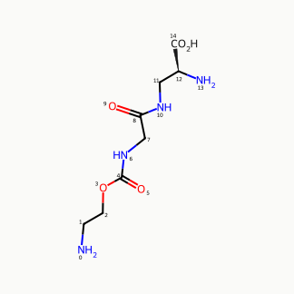 NCCOC(=O)NCC(=O)NC[C@H](N)C(=O)O